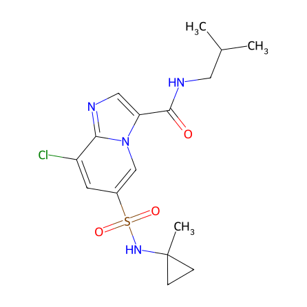 CC(C)CNC(=O)c1cnc2c(Cl)cc(S(=O)(=O)NC3(C)CC3)cn12